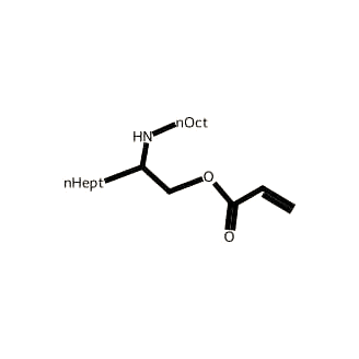 C=CC(=O)OCC(CCCCCCC)NCCCCCCCC